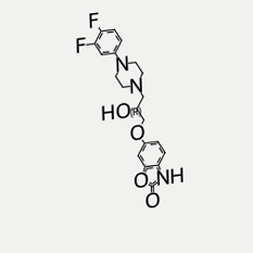 O=c1[nH]c2ccc(OC[C@H](O)CN3CCN(c4ccc(F)c(F)c4)CC3)cc2o1